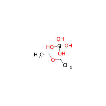 CCOCC.O[Si](O)(O)O